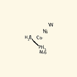 BP.[Co].[Mo].[Ni].[W]